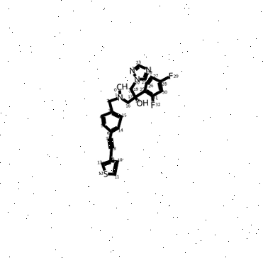 CN(Cc1ccc(C#Cc2ccsc2)cc1)CC(O)(Cn1cncn1)c1ccc(F)cc1F